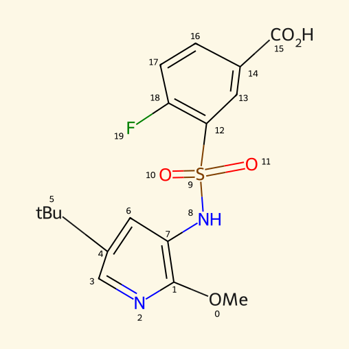 COc1ncc(C(C)(C)C)cc1NS(=O)(=O)c1cc(C(=O)O)ccc1F